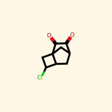 O=C1C(=O)C23CC1CC2C(Cl)C3